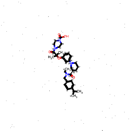 CCN(Cc1ccc(C(C)C)cc1)C(=O)[C@@H]1CCCN(c2cccc(OC(C)(C)C(=O)N3CCN(C(=O)O)CC3)c2)C1